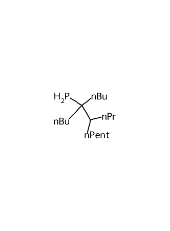 CCCCCC(CCC)C(P)(CCCC)CCCC